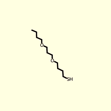 CCCCOCCCOCCCCS